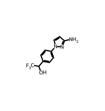 Nc1ccn(-c2ccc(C(O)C(F)(F)F)cc2)n1